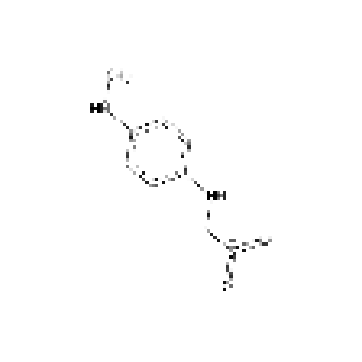 [CH2]Nc1ccc(NC[SH](=O)=O)cc1